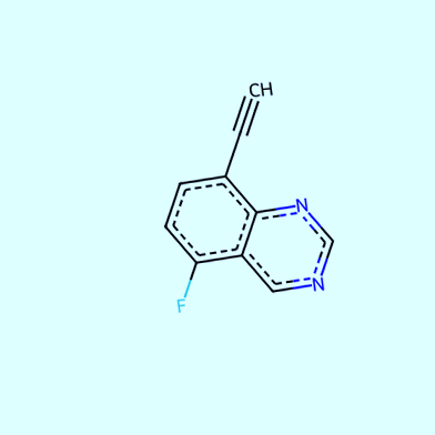 C#Cc1ccc(F)c2cncnc12